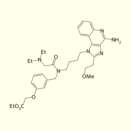 CCOC(=O)COc1cccc(CN(CCCCn2c(CCOC)nc3c(N)nc4ccccc4c32)C(=O)CN(CC)CC)c1